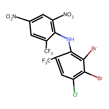 O=[N+]([O-])c1cc([N+](=O)[O-])c(Nc2c(C(F)(F)F)cc(Cl)c(Br)c2Br)c(C(F)(F)F)c1